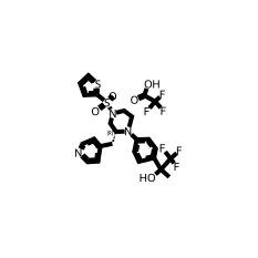 CC(O)(c1ccc(N2CCN(S(=O)(=O)c3cccs3)C[C@H]2Cc2ccncc2)cc1)C(F)(F)F.O=C(O)C(F)(F)F